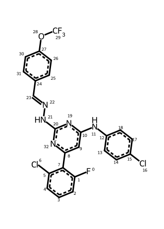 Fc1cccc(Cl)c1-c1cc(Nc2ccc(Cl)cc2)nc(N/N=C/c2ccc(OC(F)(F)F)cc2)n1